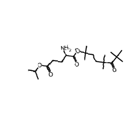 CC(C)OC(=O)CCC(N)C(=O)OC(C)(C)CCC(C)(C)C(=O)C(C)(C)C